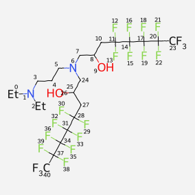 CCN(CC)CCCN(CC(O)CC(F)(F)C(F)(F)C(F)(F)C(F)(F)C(F)(F)F)CC(O)CC(F)(F)C(F)(F)C(F)(F)C(F)(F)C(F)(F)F